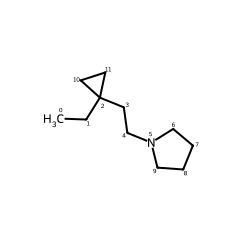 CCC1(CCN2CCCC2)CC1